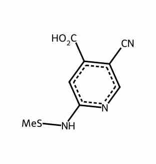 CSNc1cc(C(=O)O)c(C#N)cn1